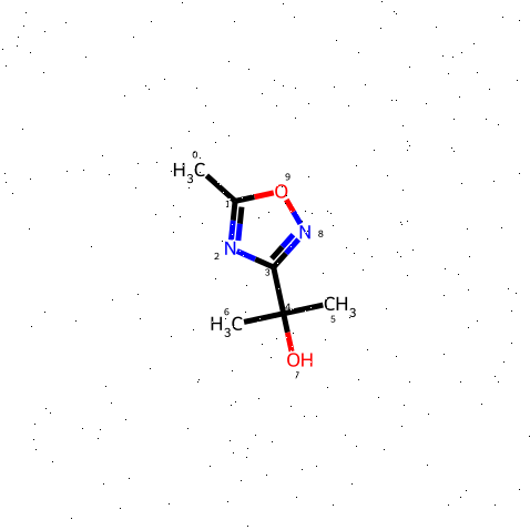 Cc1nc(C(C)(C)O)no1